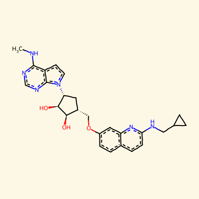 CNc1ncnc2c1ccn2[C@@H]1C[C@H](COc2ccc3ccc(NCC4CC4)nc3c2)[C@@H](O)[C@H]1O